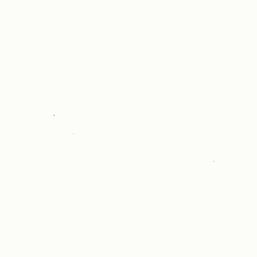 O=C(COC(=O)C(F)(F)S(=O)(=O)O)OC1CC2CCC1C2